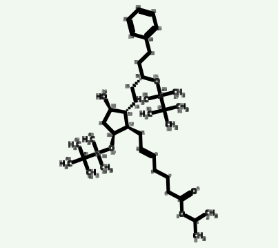 CC(C)OC(=O)CCC/C=C/C[C@@H]1[C@@H](CC[C@H](CCc2ccccc2)O[Si](C)(C)C(C)(C)C)[C@H](O)C[C@@H]1O[Si](C)(C)C(C)(C)C